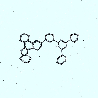 c1ccc(C2=NC(c3cccc(-c4ccc5c(c4)c4ccccc4c4nc6ccccn6c54)c3)NC(c3ccccc3)=N2)cc1